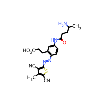 Cc1c(C#N)sc(N=Nc2ccc(NC(=O)CCC(C)N)cc2CCC(=O)O)c1C#N